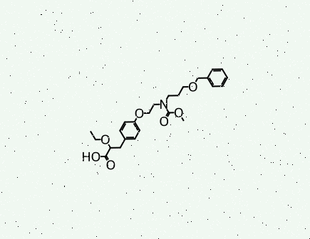 CCOC(Cc1ccc(OCCN(CCCOCc2ccccc2)C(=O)OC)cc1)C(=O)O